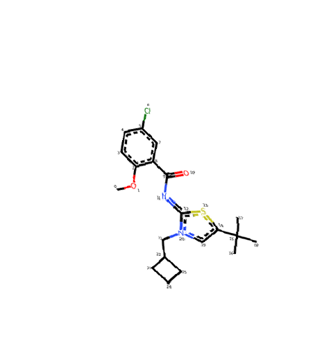 COc1ccc(Cl)cc1C(=O)/N=c1\sc(C(C)(C)C)cn1CC1CCC1